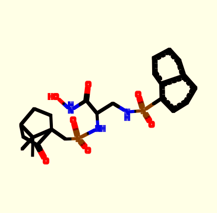 CC1(C)C2CCC1(CS(=O)(=O)NC(CNS(=O)(=O)c1cccc3ccccc13)C(=O)NO)C(=O)C2